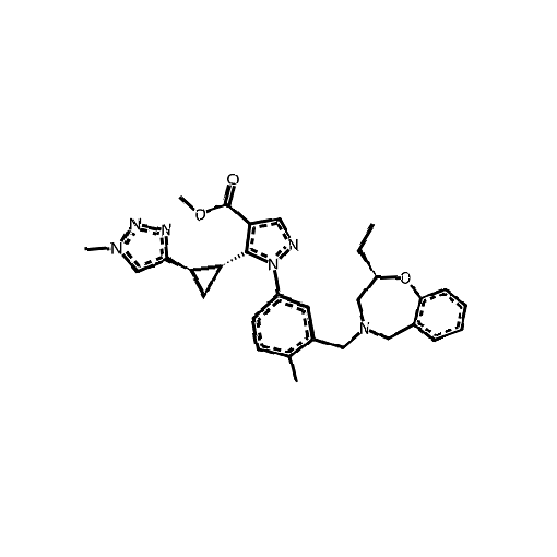 CC[C@@H]1CN(Cc2cc(-n3ncc(C(=O)OC)c3[C@@H]3C[C@H]3c3cn(C)nn3)ccc2C)Cc2ccccc2O1